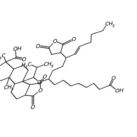 CCCC/C=C/C(CCC(CCCCCCCC(=O)O)OC(C(C)C)C12CCC3C(C)(C(=O)O)CCCC3(C)C1CCC1C(=O)OC(=O)C12)C1CC(=O)OC1=O